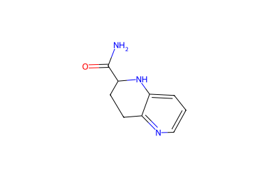 NC(=O)C1CCc2ncccc2N1